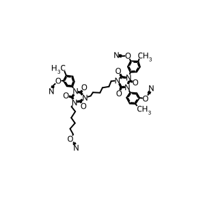 Cc1ccc(-n2c(=O)n(CCCCCCOC#N)c(=O)n(CCCCCCn3c(=O)n(-c4ccc(C)c(OC#N)c4)c(=O)n(-c4ccc(C)c(OC#N)c4)c3=O)c2=O)cc1OC#N